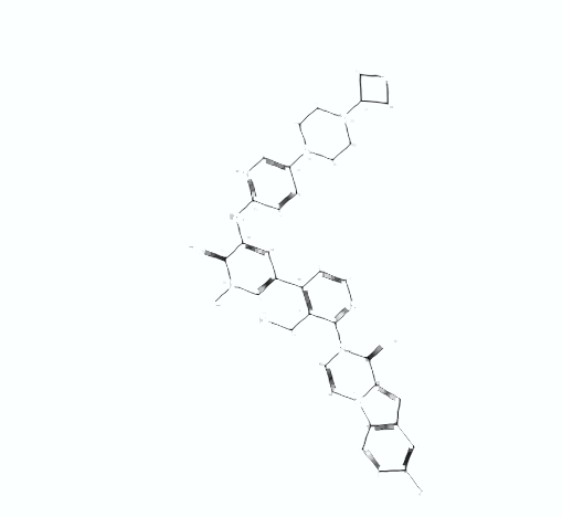 Cc1ccc2c(c1)cc1c(=O)n(-c3nccc(-c4cc(Nc5ccc(N6CCN(C7COC7)CC6)cn5)c(=O)n(C)c4)c3CO)ccn12